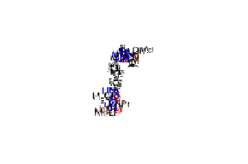 COC(=O)N[C@H](C(=O)N(CCS)[C@H](C)c1ncc(-c2ccc(-c3ccc4cc(-c5cnc([C@@H]6CCCN6C(=O)[C@H](NC(=O)OC)c6ccccc6)[nH]5)ccc4c3)cc2)[nH]1)C(C)C